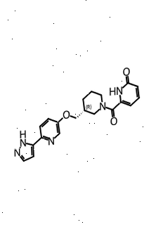 O=C(c1cccc(=O)[nH]1)N1CCC[C@@H](COc2ccc(-c3ccn[nH]3)nc2)C1